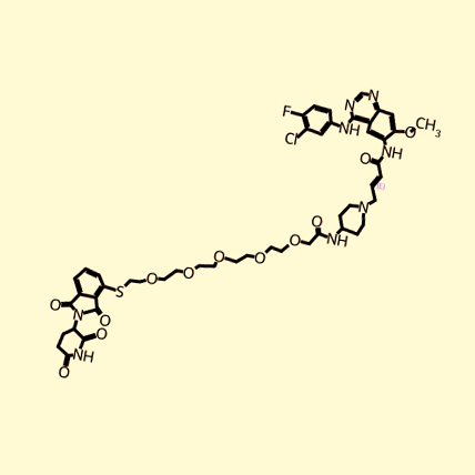 COc1cc2ncnc(Nc3ccc(F)c(Cl)c3)c2cc1NC(=O)/C=C/CN1CCC(NC(=O)COCCOCCOCCOCCOCCSc2cccc3c2C(=O)N(C2CCC(=O)NC2=O)C3=O)CC1